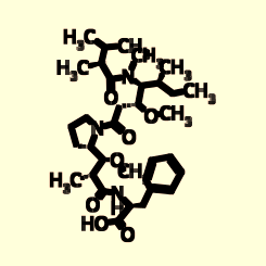 CC[C@H](C)[C@@H]([C@@H](CC(=O)N1CCC[C@H]1[C@H](OC)[C@@H](C)C(=O)N[C@@H](Cc1ccccc1)C(=O)O)OC)N(C)C(=O)[C@@H](C)C(C)C